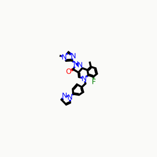 Cc1ccc(F)c2c1c1nn(-c3cn(C)cn3)c(=O)c-1cn2Cc1ccc(-n2cccn2)cc1